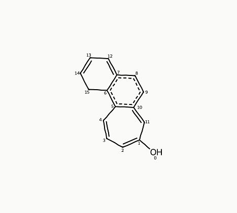 OC1=CC=Cc2c3c(ccc2=C1)=CC=CC3